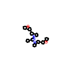 c1ccc(-c2cc(-n3c4ccccc4c4cc(-c5ccc6oc7ccccc7c6c5)ccc43)nc(-n3c4ccccc4c4cc(-c5ccc6oc7ccccc7c6c5)ccc43)c2)cc1